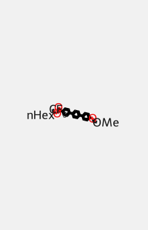 CCCCCCC(OC(=O)c1ccc(-c2ccc(-c3ccc(OCOC)cc3)cc2)cc1)C(F)(F)F